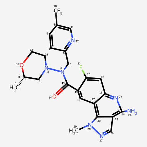 C[C@H]1CN(N(Cc2ccc(C(F)(F)F)cn2)C(=O)c2cc3c(cc2F)nc(N)c2cnn(C)c23)CCO1